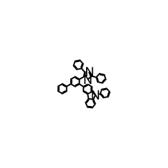 c1ccc(-c2ccc3c(c2)c2cc4c5ccccc5n(-c5ccccc5)c4cc2n2c(-c4ccccc4)nc(-c4ccccc4)c32)cc1